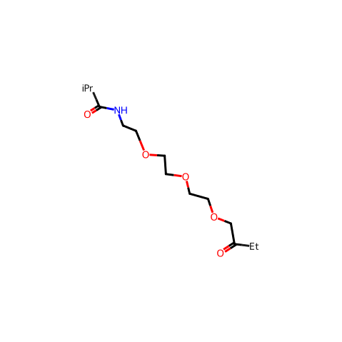 CCC(=O)COCCOCCOCCNC(=O)C(C)C